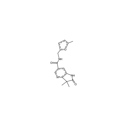 Cc1ccc(CNC(=O)c2cnc3c(c2)NC(=O)C3(C)C)o1